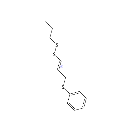 CCCSS/C=C/CSc1ccccc1